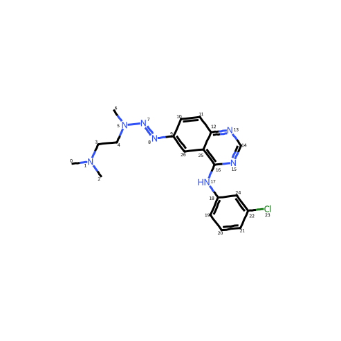 CN(C)CCN(C)N=Nc1ccc2ncnc(Nc3cccc(Cl)c3)c2c1